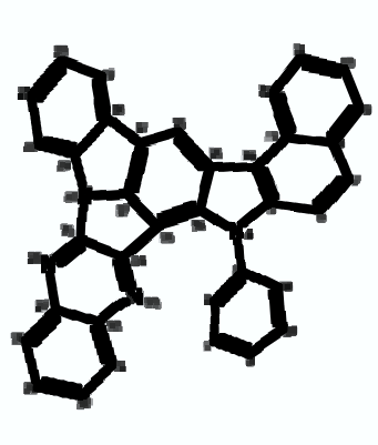 c1ccc(-n2c3ccc4ccccc4c3c3cc4c5ccccc5n5c6nc7ccccc7nc6c(c32)c45)cc1